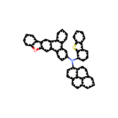 c1cc2ccc3ccc(N(c4ccc5c(c4)c4ccccc4c4cc6c(cc54)oc4ccccc46)c4cccc5c4sc4ccccc45)c4ccc(c1)c2c34